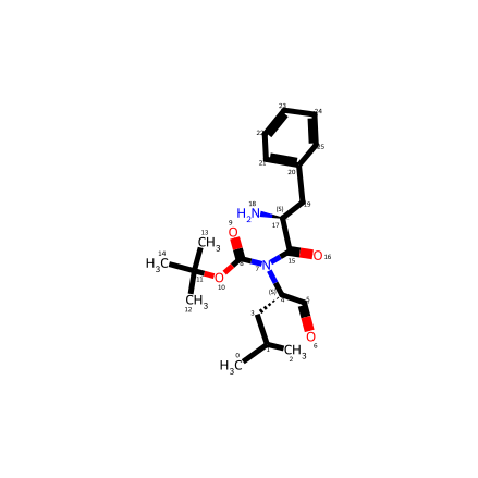 CC(C)C[C@@H]([C]=O)N(C(=O)OC(C)(C)C)C(=O)[C@@H](N)Cc1ccccc1